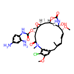 COc1cc2cc(c1Cl)N(C)C(=O)C[C@H](OC(=O)Nc1ccc(N)cc1N)[C@]1(C)O[C@H]1[C@H](C)[C@@H]1C[C@@](O)(NC(=O)O1)[C@H](OC)/C=C/C=C(\C)C2